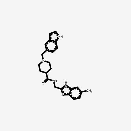 Cc1ccc2nc(CNC(=O)C3CCN(Cc4ccc5[nH]ccc5c4)CC3)[nH]c2c1